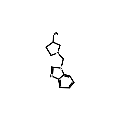 CCCC1CCN(Cn2cnc3ccccc32)C1